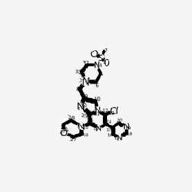 CS(=O)(=O)N1CCN(Cc2cn3c(Cl)c(-c4cncnc4)nc(N4CCOCC4)c3n2)CC1